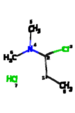 C[CH]C(Cl)N(C)C.Cl